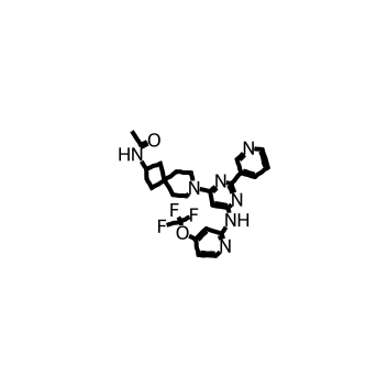 CC(=O)NC1CCC2(CCN(c3cc(Nc4cc(OC(F)(F)F)ccn4)nc(-c4cccnc4)n3)CC2)C1